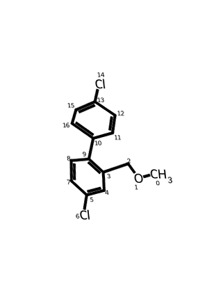 COCc1cc(Cl)ccc1-c1ccc(Cl)cc1